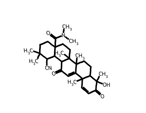 CN(C)C(=O)C12CCC(C)(C)C(C#N)C1C1C(=O)C=C3C4(C)C=CC(=O)C(C)(O)C4CCC3(C)C1(C)CC2